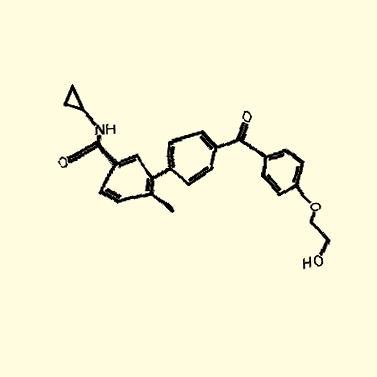 Cc1ccc(C(=O)NC2CC2)cc1-c1ccc(C(=O)c2ccc(OCCO)cc2)cc1